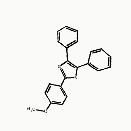 COc1ccc(-c2nc(-c3ccccc3)c(-c3ccccc3)s2)cc1